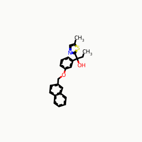 CCC(O)(c1cccc(OCc2ccc3ccccc3c2)c1)c1ncc(C)s1